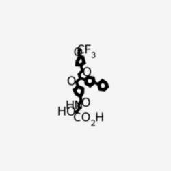 O=C(CC(C(=O)c1ccc(C(=O)NC[C@@H](O)C(=O)O)cc1)c1ccc(-c2ccccc2)cc1)c1ccc(OC(F)(F)F)cc1